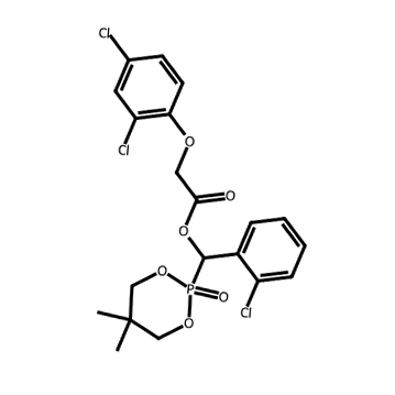 CC1(C)COP(=O)(C(OC(=O)COc2ccc(Cl)cc2Cl)c2ccccc2Cl)OC1